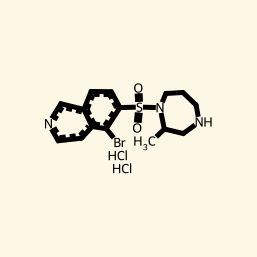 CC1CNCCCN1S(=O)(=O)c1ccc2cnccc2c1Br.Cl.Cl